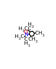 CC1CC(C)C2C(C1)C(C)(C)ON2C(C)C